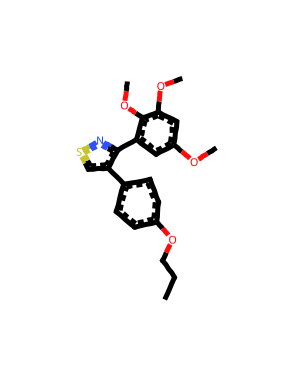 CCCOc1ccc(-c2csnc2-c2cc(OC)cc(OC)c2OC)cc1